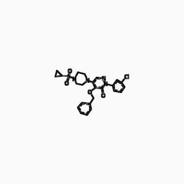 O=c1c(OCc2ccccc2)c(N2CCN(S(=O)(=O)C3CC3)CC2)cnn1-c1cccc(Cl)c1